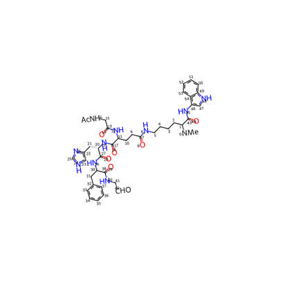 CNC(CCCCNC(=O)CCC(NC(=O)CNC(C)=O)C(=O)N[C@@H](Cc1c[nH]cn1)C(=O)NC(Cc1ccccc1)C(=O)NCC=O)C(=O)Nc1c[nH]c2ccccc12